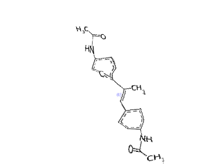 CC(=O)Nc1ccc(/C=C(\C)c2ccc(NC(C)=O)cc2)cc1